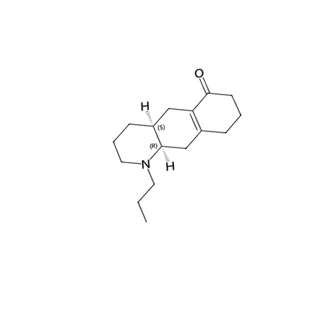 CCCN1CCC[C@H]2CC3=C(CCCC3=O)C[C@H]21